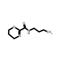 CCCCNC(=O)C1=NCCCO1